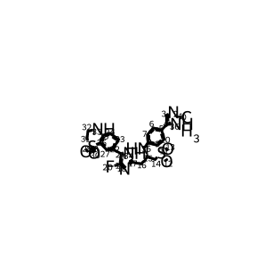 Cc1ncc(-c2ccc3c(c2)S(=O)(=O)CC(Cc2nc(F)c(-c4ccc5c(c4)S(=O)(=O)CCN5)[nH]2)N3)[nH]1